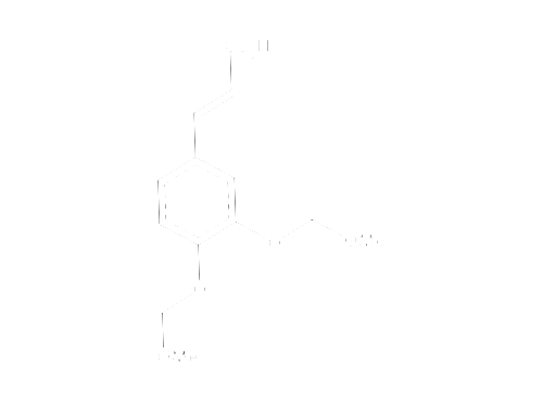 COCOc1ccc(/C=C/C(=O)O)cc1OCOC